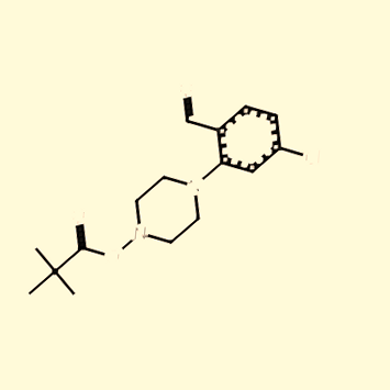 CC(C)(C)C(=O)ON1CCN(c2cc(Cl)ccc2C=O)CC1